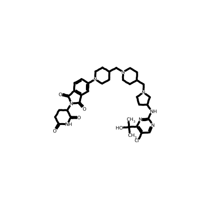 CC(C)(O)c1nc(NC2CCN(CC3CCN(CC4CCN(c5ccc6c(c5)C(=O)N(C5CCC(=O)NC5=O)C6=O)CC4)CC3)C2)ncc1Cl